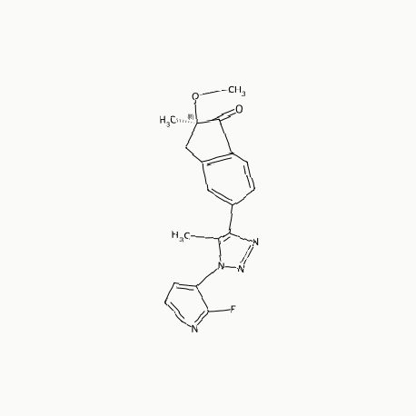 CO[C@]1(C)Cc2cc(-c3nnn(-c4cccnc4F)c3C)ccc2C1=O